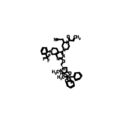 C=CC(=O)N1CCN(c2nc(OC[C@@H]3C[C@@H](O[Si](c4ccccc4)(c4ccccc4)C(C)(C)C)CN3C)nc3c2CCN(c2ccccc2C(F)(F)F)C3)CC1CC#N